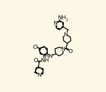 Nc1cc(CN2CCC(C(=O)N3CCC(Nc4ccc(Cl)cc4NC(=O)c4ccncc4)CC3)CC2)ccn1